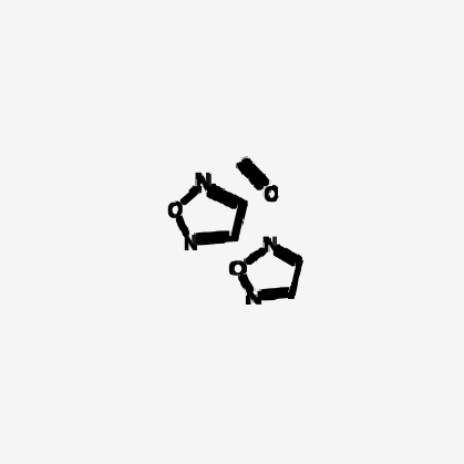 C=O.c1cnon1.c1cnon1